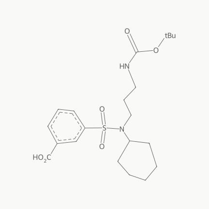 CC(C)(C)OC(=O)NCCCN(C1CCCCC1)S(=O)(=O)c1cccc(C(=O)O)c1